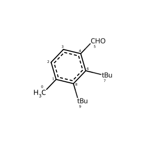 Cc1ccc(C=O)c(C(C)(C)C)c1C(C)(C)C